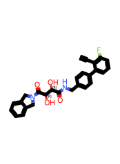 C#Cc1c(F)cccc1-c1ccc(CNC(=O)[C@H](O)[C@@H](O)C(=O)N2Cc3ccccc3C2)cc1